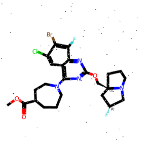 COC(=O)C1CCCN(c2nc(OC[C@@]34CCCN3C[C@H](F)C4)nc3c(F)c(Br)c(Cl)cc23)CC1